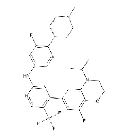 CC(C)N1CCOc2c(F)cc(-c3nc(Nc4ccc(C5CCN(C)CC5)c(F)c4)ncc3C(F)(F)F)cc21